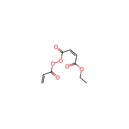 C=CC(=O)OOC(=O)/C=C\C(=O)OCC